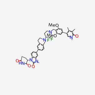 COc1cc(-c2cn(C)c(=O)c(C)c2C)cc(OC)c1CN1CCC(N2CCc3cc(-c4ccc5c(c4)n(C)c(=O)n5C4CCC(=O)NC4=O)ccc3C2)C(F)(F)C1